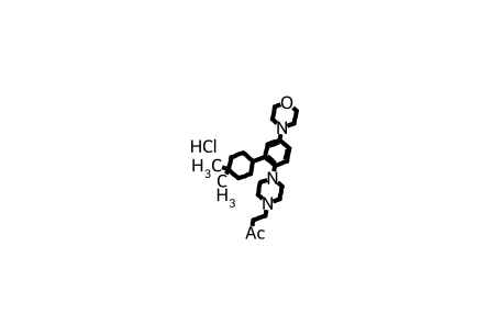 CC(=O)CCN1CCN(c2ccc(N3CCOCC3)cc2C2CCC(C)(C)CC2)CC1.Cl